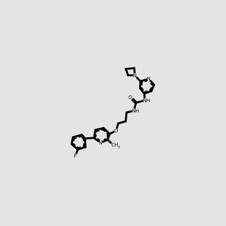 Cc1nc(-c2cccc(F)c2)ccc1OCCCNC(=O)Nc1ccnc(N2CCC2)c1